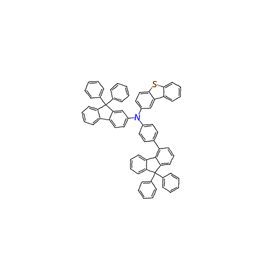 c1ccc(C2(c3ccccc3)c3ccccc3-c3ccc(N(c4ccc(-c5cccc6c5-c5ccccc5C6(c5ccccc5)c5ccccc5)cc4)c4ccc5sc6ccccc6c5c4)cc32)cc1